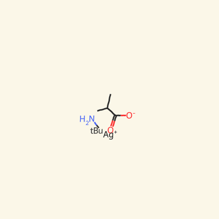 CC(C)(C)N.CC(C)C(=O)[O-].[Ag+]